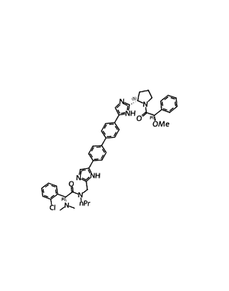 CCCN(Cc1ncc(-c2ccc(-c3ccc(-c4cnc([C@@H]5CCCN5C(=O)[C@H](OC)c5ccccc5)[nH]4)cc3)cc2)[nH]1)C(=O)[C@@H](c1ccccc1Cl)N(C)C